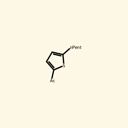 CCCCCc1ccc(C(C)=O)s1